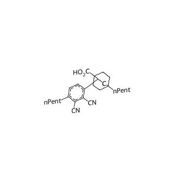 CCCCCc1ccc(C2CC3(CCCCC)CCC2(C(=O)O)CC3)c(C#N)c1C#N